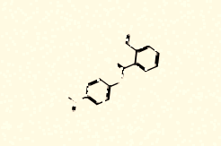 O=[C]c1ccccc1C(=O)Oc1ccc([N+](=O)[O-])cc1